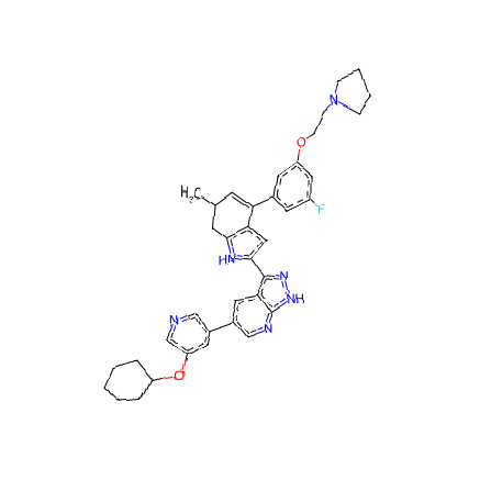 CC1C=C(c2cc(F)cc(OCCN3CCCC3)c2)c2cc(-c3n[nH]c4ncc(-c5cncc(OC6CCCCC6)c5)cc34)[nH]c2C1